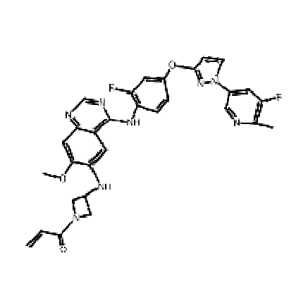 C=CC(=O)N1CC(Nc2cc3c(Nc4ccc(Oc5ccn(-c6cnc(C)c(F)c6)n5)cc4F)ncnc3cc2OC)C1